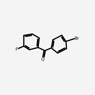 O=C(c1ccc(Br)cc1)c1cccc(F)c1